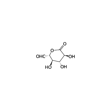 O=C[C@@H]1OC(=O)[C@@H](O)[C@H](O)[C@H]1O